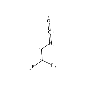 O=C=NCC(F)F